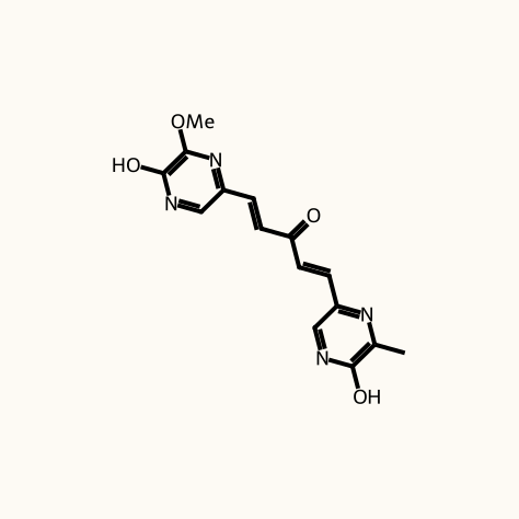 COc1nc(/C=C/C(=O)/C=C/c2cnc(O)c(C)n2)cnc1O